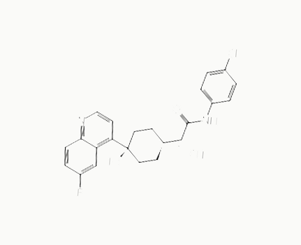 C[C@@H](C(=O)Nc1ccc(Cl)cc1)[C@H]1CC[C@](O)(c2ccnc3ccc(F)cc32)CC1